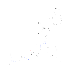 COc1cccc(-c2nc(-n3nc(CC(=O)NCCN(C)C)c4cc(Cl)ccc43)sc2C(C)C)c1